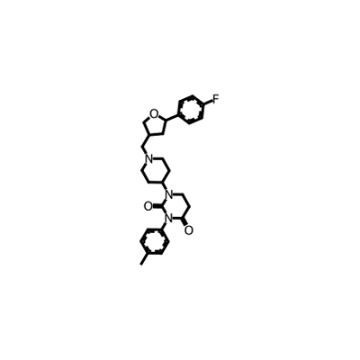 Cc1ccc(N2C(=O)CCN(C3CCN(CC4COC(c5ccc(F)cc5)C4)CC3)C2=O)cc1